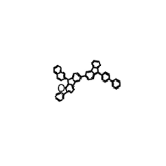 c1ccc(-c2ccc(C3c4ccccc4-c4cc(-c5ccc6c(c5)-c5ccc7c(oc8ccccc87)c5C6c5ccc6ccccc6c5)ccc43)cc2)cc1